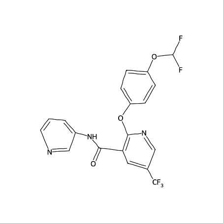 O=C(Nc1cccnc1)c1cc(C(F)(F)F)cnc1Oc1ccc(OC(F)F)cc1